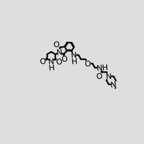 CN1CCN(CC(=O)NCCOCCCNc2cccc3c2C(=O)N(C2CCC(=O)NC2=O)C3=O)CC1